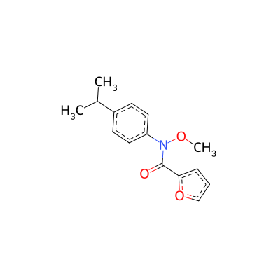 CON(C(=O)c1ccco1)c1ccc(C(C)C)cc1